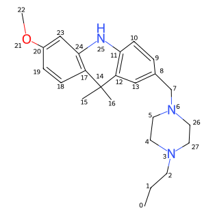 CCCN1CCN(Cc2ccc3c(c2)C(C)(C)c2ccc(OC)cc2N3)CC1